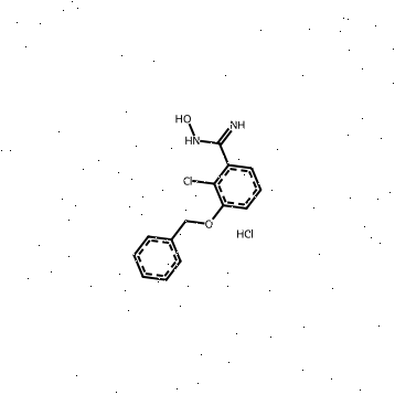 Cl.N=C(NO)c1cccc(OCc2ccccc2)c1Cl